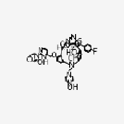 O=C(O)[C@H]1Cc2cc(ccc2OCc2ccnc(N3CCOC[C@H]3O)n2)CN(CCN2CCN(O)CC2)Cc2ccc(c(O)c2Cl)-c2c(-c3ccc(F)cc3)sc3ncnc(c23)O1